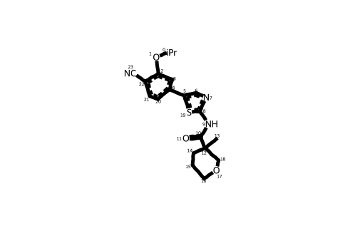 CC(C)Oc1cc(-c2cnc(NC(=O)C3(C)CCCOC3)s2)ccc1C#N